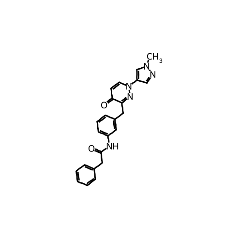 Cn1cc(-n2ccc(=O)c(Cc3cccc(NC(=O)Cc4ccccc4)c3)n2)cn1